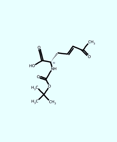 CC(=O)C=CC[C@H](NC(=O)OC(C)(C)C)C(=O)O